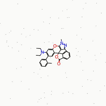 CCN(CC)c1cc2c(cc1-c1ccccc1C)C1(OC(=O)c3ccccc31)c1c(C)nn(C)c1O2